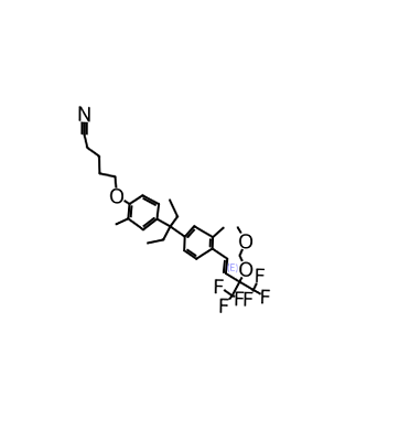 CCC(CC)(c1ccc(/C=C/C(OCOC)(C(F)(F)F)C(F)(F)F)c(C)c1)c1ccc(OCCCCC#N)c(C)c1